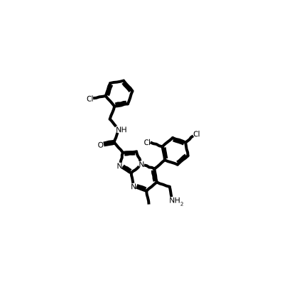 Cc1nc2nc(C(=O)NCc3ccccc3Cl)cn2c(-c2ccc(Cl)cc2Cl)c1CN